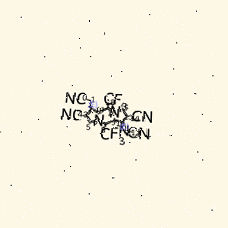 N#C/C=c1\c(C#N)cn2c(C(F)(F)F)c3/c(=N/C#N)c(C#N)cn-3c(C(F)(F)F)c12